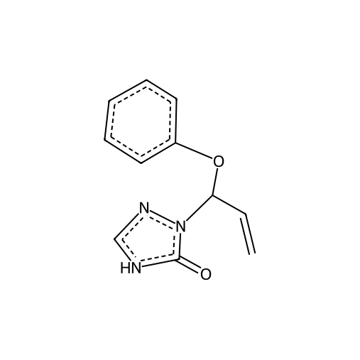 C=CC(Oc1ccccc1)n1nc[nH]c1=O